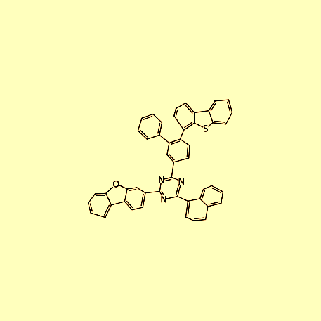 c1ccc(-c2cc(-c3nc(-c4ccc5c(c4)oc4ccccc45)nc(-c4cccc5ccccc45)n3)ccc2-c2cccc3c2sc2ccccc23)cc1